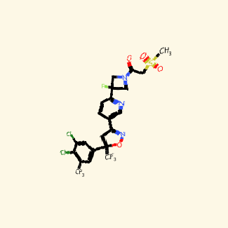 CS(=O)(=O)CC(=O)N1CC(F)(c2ccc(C3=NOC(c4cc(Cl)c(Cl)c(C(F)(F)F)c4)(C(F)(F)F)C3)cn2)C1